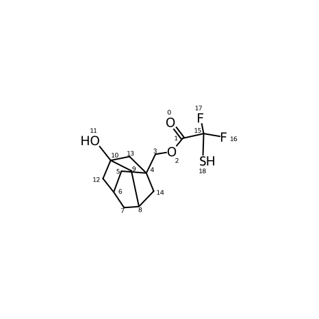 O=C(OCC12CC3CC(CC(O)(C3)C1)C2)C(F)(F)S